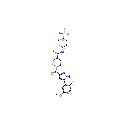 COc1cc(-c2cc(C(=O)N3CCC(C(=O)N[C@H]4CC[C@@H](C(F)(F)F)OC4)CC3)n[nH]2)c(Cl)cn1